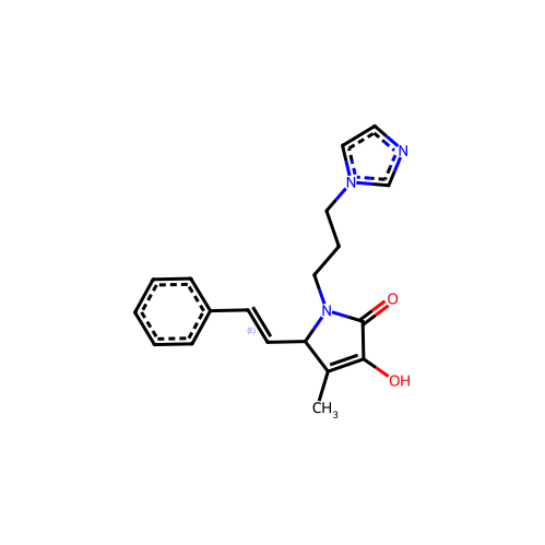 CC1=C(O)C(=O)N(CCCn2ccnc2)C1/C=C/c1ccccc1